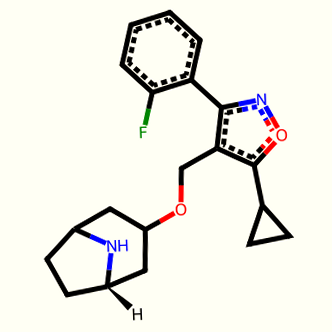 Fc1ccccc1-c1noc(C2CC2)c1COC1CC2CC[C@@H](C1)N2